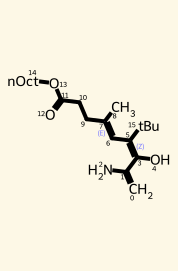 C=C(N)/C(O)=C(\C=C(/C)CCC(=O)OCCCCCCCC)C(C)(C)C